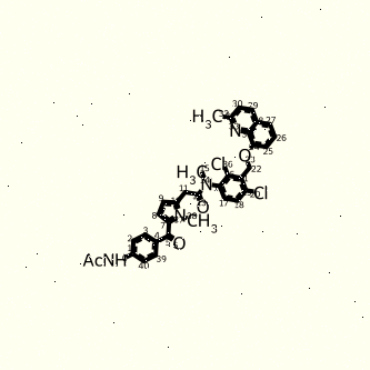 CC(=O)Nc1ccc(C(=O)c2ccc(CC(=O)N(C)c3ccc(Cl)c(COc4cccc5ccc(C)nc45)c3Cl)n2C)cc1